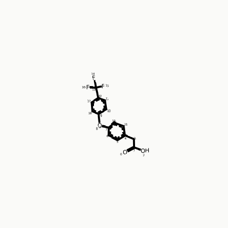 O=C(O)Cc1ccc(Oc2ccc(C(F)(F)F)cc2)cc1